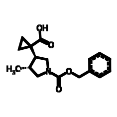 C[C@H]1CN(C(=O)OCc2ccccc2)C[C@@H]1C1(C(=O)O)CC1